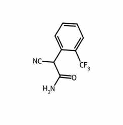 N#CC(C(N)=O)c1ccccc1C(F)(F)F